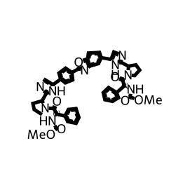 COC(=O)N[C@@H](C(=O)N1CCCC1c1ncc(-c2ccc(-c3nc4cc(-c5cnc(C6CCCN6C(=O)[C@H](NC(=O)OC)c6ccccc6)[nH]5)ccc4o3)cc2)[nH]1)c1ccccc1